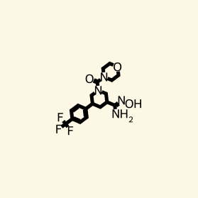 NC(=NO)C1CC(c2ccc(C(F)(F)F)cc2)CN(C(=O)N2CCOCC2)C1